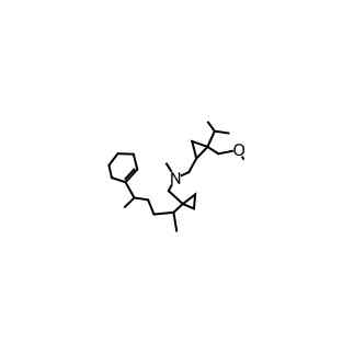 COCC1(C(C)C)CC1CN(C)CC1(C(C)CCC(C)C2=CCCCC2)CC1